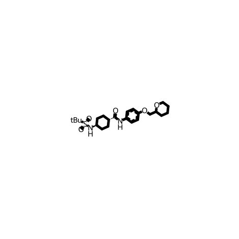 CC(C)(C)S(=O)(=O)N[C@H]1CC[C@H](C(=O)Nc2ccc(OCC3CCCCO3)cc2)CC1